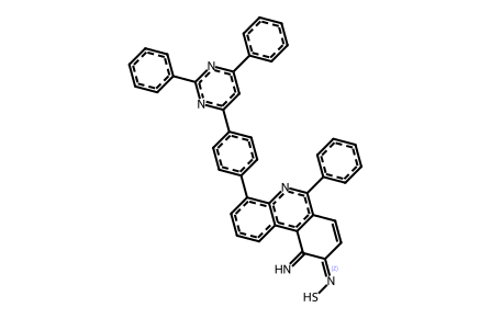 N=C1/C(=N\S)C=Cc2c(-c3ccccc3)nc3c(-c4ccc(-c5cc(-c6ccccc6)nc(-c6ccccc6)n5)cc4)cccc3c21